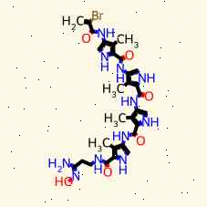 C=C(Br)C(=O)Nc1c[nH]c(C(=O)Nc2c[nH]c(C(=O)Nc3c[nH]c(C(=O)Nc4c[nH]c(C(=O)NCCC(N)=NO)c4C)c3C)c2C)c1C